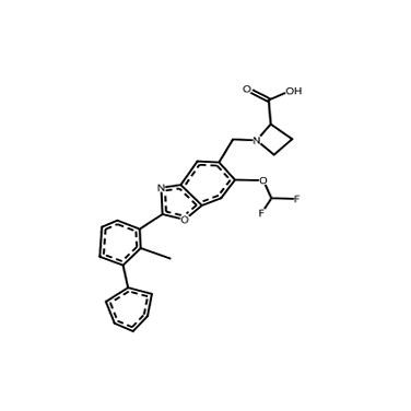 Cc1c(-c2ccccc2)cccc1-c1nc2cc(CN3CCC3C(=O)O)c(OC(F)F)cc2o1